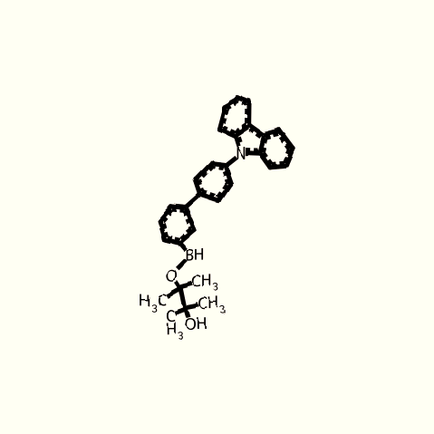 CC(C)(O)C(C)(C)OBc1cccc(-c2ccc(-n3c4ccccc4c4ccccc43)cc2)c1